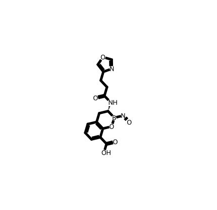 O=NB1Oc2c(cccc2C(=O)O)C[C@@H]1NC(=O)CCc1cocn1